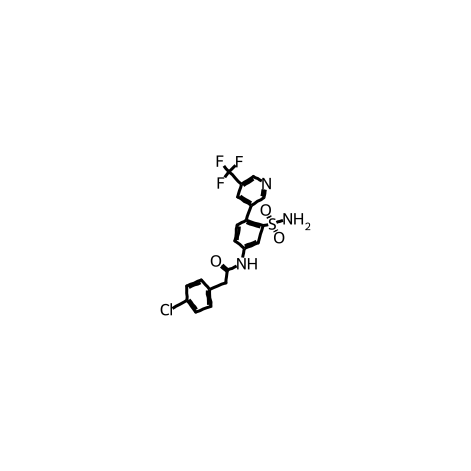 NS(=O)(=O)c1cc(NC(=O)Cc2ccc(Cl)cc2)ccc1-c1cncc(C(F)(F)F)c1